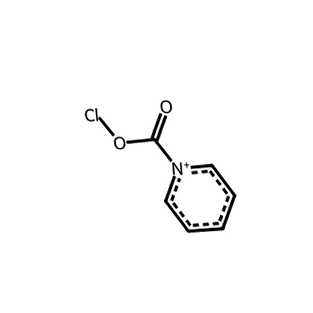 O=C(OCl)[n+]1ccccc1